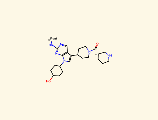 CCC[C@H](C)Nc1ncc2c(C3CCN(C(=O)[C@H]4CCCNC4)CC3)cn(C3CCC(O)CC3)c2n1